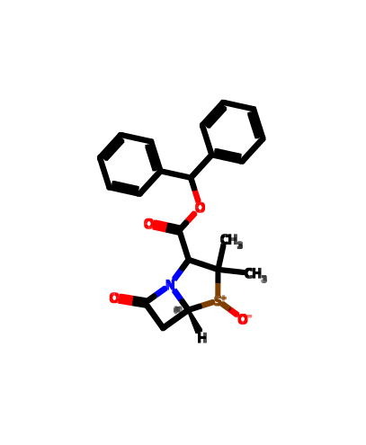 CC1(C)C(C(=O)OC(c2ccccc2)c2ccccc2)N2C(=O)C[C@H]2[S+]1[O-]